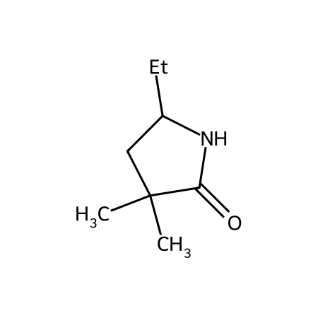 CCC1CC(C)(C)C(=O)N1